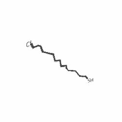 SCCCCCCCCCCCCCl